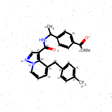 COC(=O)c1ccc(C(C)NC(=O)c2cnn3cccc(Cc4ccc(C(F)(F)F)cc4)c23)cc1